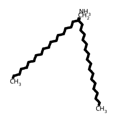 C=C(CCCCCCCCCCCCCCCCCC)CCCCCCCCCCCCCCCCCC.N